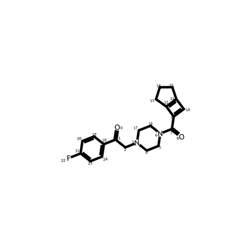 O=C(CN1CCN(C(=O)C2=CC3=C2CCC3)CC1)c1ccc(F)cc1